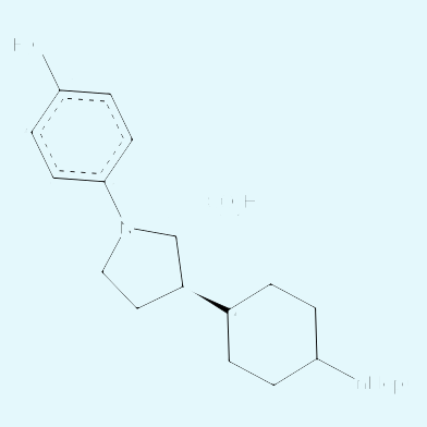 CCCCCCCC1CCC([C@H]2CCN(c3ccc(C(F)(F)F)cc3)[C@@H]2C(=O)O)CC1